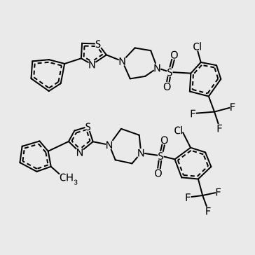 Cc1ccccc1-c1csc(N2CCN(S(=O)(=O)c3cc(C(F)(F)F)ccc3Cl)CC2)n1.O=S(=O)(c1cc(C(F)(F)F)ccc1Cl)N1CCN(c2nc(-c3ccccc3)cs2)CC1